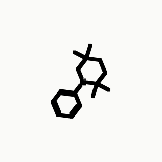 CC1(C)CCC(C)(C)N(c2ccccc2)C1